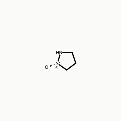 [O-][S@@+]1CCCN1